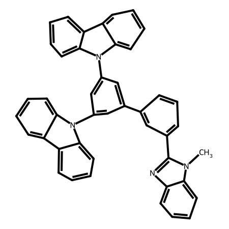 Cn1c(-c2cccc(-c3cc(-n4c5ccccc5c5ccccc54)cc(-n4c5ccccc5c5ccccc54)c3)c2)nc2ccccc21